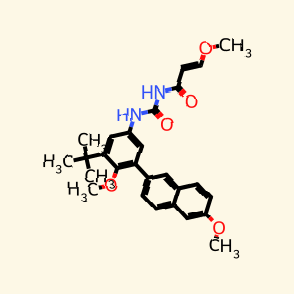 COC=CC(=O)NC(=O)Nc1cc(-c2ccc3cc(OC)ccc3c2)c(OC)c(C(C)(C)C)c1